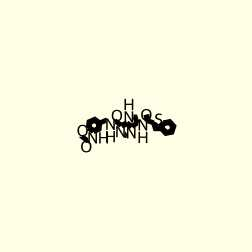 O=C1COc2ccc(CNC(=O)c3ncnc4c3NCC4NC(=O)c3cc4ccccc4s3)cc2N1